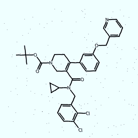 CC(C)(C)OC(=O)N1CCC(c2cccc(OCc3cccnc3)c2)=C(C(=O)N(Cc2cccc(Cl)c2Cl)C2CC2)C1